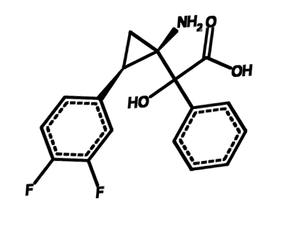 N[C@]1(C(O)(C(=O)O)c2ccccc2)C[C@@H]1c1ccc(F)c(F)c1